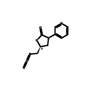 [N-]=[N+]=NC[C@H]1CN(c2cccnc2)C(=O)O1